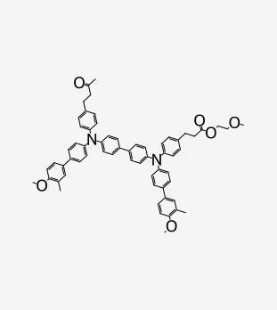 COCCOC(=O)CCc1ccc(N(c2ccc(-c3ccc(N(c4ccc(CCC(C)=O)cc4)c4ccc(-c5ccc(OC)c(C)c5)cc4)cc3)cc2)c2ccc(-c3ccc(OC)c(C)c3)cc2)cc1